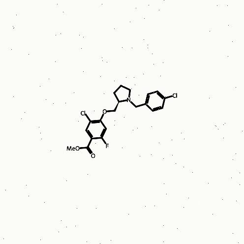 COC(=O)c1cc(Cl)c(OC[C@H]2CCCN2Cc2ccc(Cl)cc2)cc1F